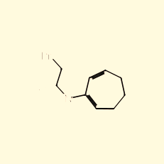 CC(C)C[C@@H](C)NC1=CCCCC=C1